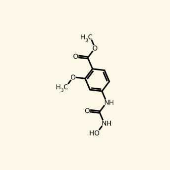 COC(=O)c1ccc(NC(=O)NO)cc1OC